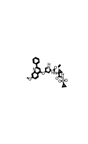 C=C[C@@H]1C[C@]1(NC(=O)[C@@H]1CC(Oc2cc(-c3ccccc3)nc3cc(OC)ccc23)CN1)C(=O)NS(=O)(=O)C1CC1